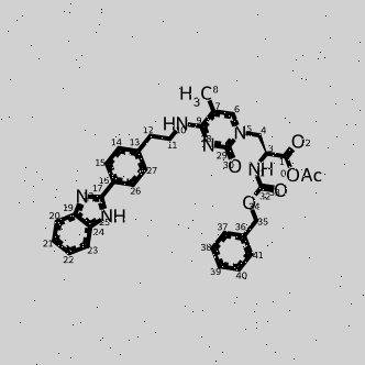 CC(=O)OC(=O)[C@H](Cn1cc(C)c(NCCc2ccc(-c3nc4ccccc4[nH]3)cc2)nc1=O)NC(=O)OCc1ccccc1